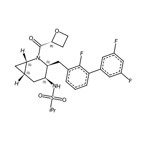 CC(C)S(=O)(=O)N[C@H]1C[C@@H]2C[C@@H]2N(C(=O)[C@H]2CCO2)[C@H]1Cc1cccc(-c2cc(F)cc(F)c2)c1F